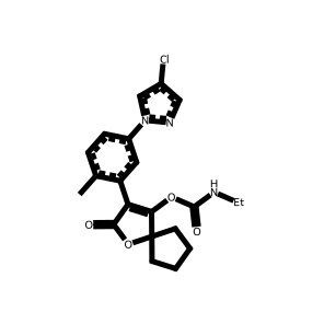 CCNC(=O)OC1=C(c2cc(-n3cc(Cl)cn3)ccc2C)C(=O)OC12CCCC2